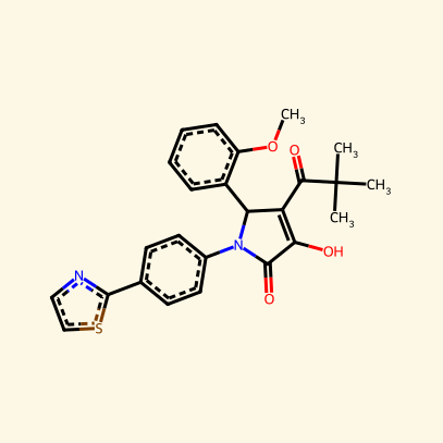 COc1ccccc1C1C(C(=O)C(C)(C)C)=C(O)C(=O)N1c1ccc(-c2nccs2)cc1